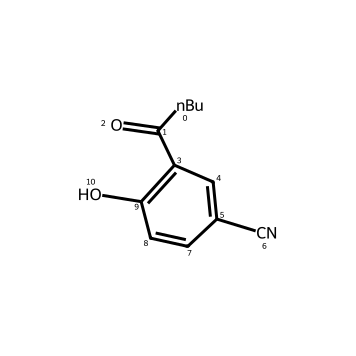 CCCCC(=O)c1cc(C#N)ccc1O